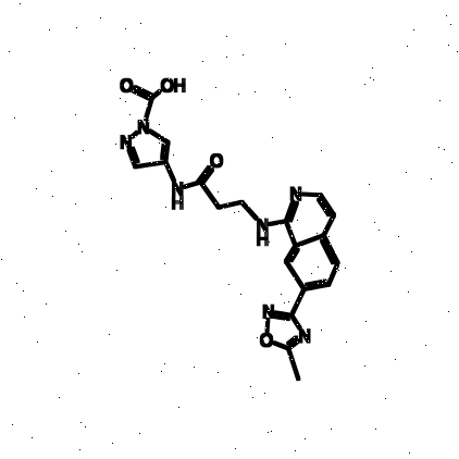 Cc1nc(-c2ccc3ccnc(NCCC(=O)Nc4cnn(C(=O)O)c4)c3c2)no1